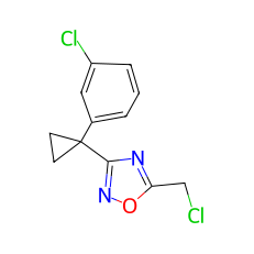 ClCc1nc(C2(c3cccc(Cl)c3)CC2)no1